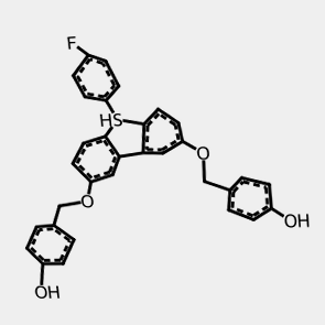 Oc1ccc(COc2ccc3c(c2)-c2cc(OCc4ccc(O)cc4)ccc2[SH]3c2ccc(F)cc2)cc1